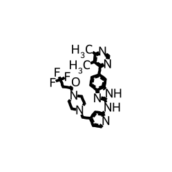 Cc1ncnc(-c2ccc3nc(Nc4cc(CN5CCN(C(=O)CC(F)(F)F)CC5)ccn4)[nH]c3c2)c1C